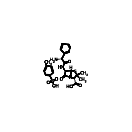 CC1(C)S[C@@H]2[C@H](NC(=O)[C@H](N)c3ccccc3)C(=O)N2[C@H]1C(=O)O.Cc1ccc(S(=O)(=O)O)cc1